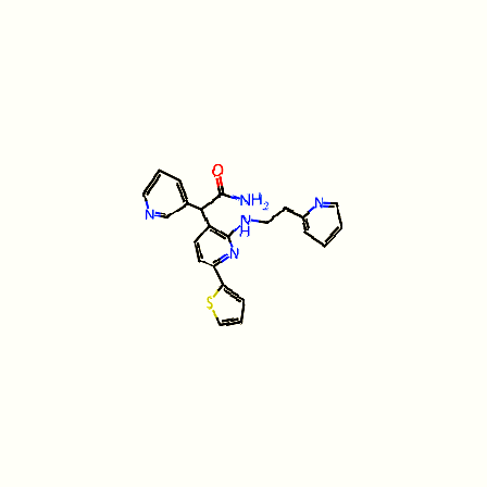 NC(=O)C(c1cccnc1)c1ccc(-c2cccs2)nc1NCCc1ccccn1